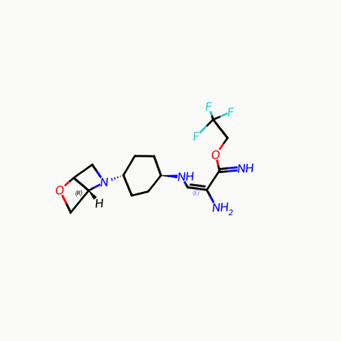 N=C(OCC(F)(F)F)/C(N)=C\N[C@H]1CC[C@H](N2CC3OC[C@H]32)CC1